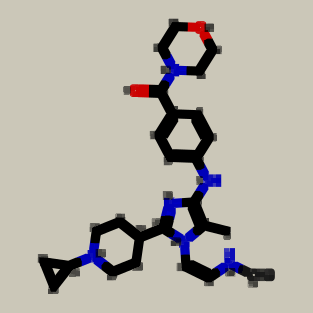 Cc1c(Nc2ccc(C(=O)N3CCOCC3)cc2)nc(C2CCN(C3CC3)CC2)n1/C=C\NC=O